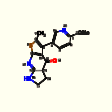 COc1ccc(-c2c(C)sc3c2C(=O)C2CCNC2=N3)cn1